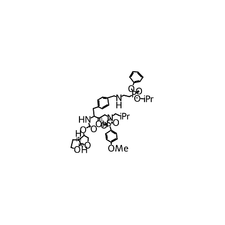 COc1ccc(S(=O)(=O)N(CC(C)C)C[C@@H](O)C(Cc2ccc(CNCCP(=O)(Oc3ccccc3)OC(C)C)cc2)NC(=O)OC2CO[C@H]3OCC[C@@H]23)cc1